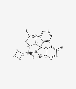 COc1ccccc1C1(N2CC(F)C[C@H]2C(=O)N2CCC2)C(=O)Nc2ccc(Cl)cc21